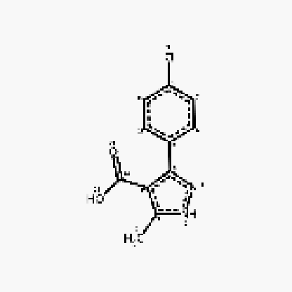 Cc1[nH]nc(-c2ccc(Cl)cc2)c1C(=O)O